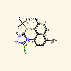 Cc1ccc2c(C(C)C)ccc(-n3c(Br)nnc3SC(C)(C)C(=O)O)c2c1